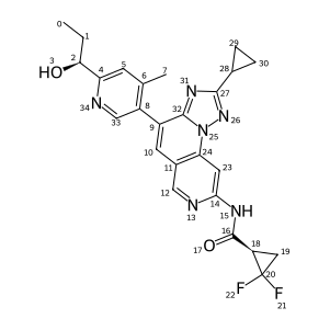 CC[C@H](O)c1cc(C)c(-c2cc3cnc(NC(=O)[C@H]4CC4(F)F)cc3n3nc(C4CC4)nc23)cn1